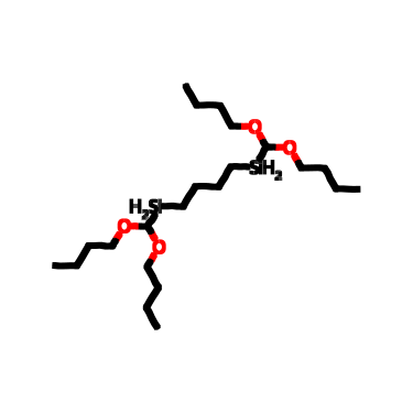 CCCCOC(OCCCC)[SiH2]CCCC[SiH2]C(OCCCC)OCCCC